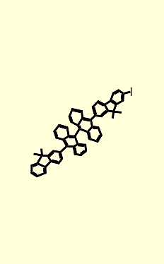 CC1(C)c2ccccc2-c2ccc(-c3c4ccccc4c(-c4c5ccccc5c(-c5ccc6c(c5)C(C)(C)c5cc(I)ccc5-6)c5ccccc45)c4ccccc34)cc21